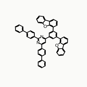 c1ccc(-c2ccc(-c3cc(-c4cc(-c5cccc6c5oc5ccccc56)cc(-c5cccc6c5oc5ccccc56)c4)nc(-c4ccc(-c5ccccc5)cc4)n3)cc2)cc1